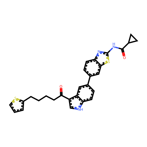 O=C(CCCCc1cccs1)c1c[nH]c2ccc(-c3ccc4nc(NC(=O)C5CC5)sc4c3)cc12